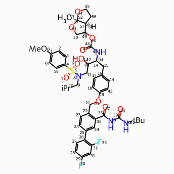 COc1ccc(S(=O)(=O)N(CC(C)C)C[C@@H](O)[C@H](Cc2ccc(OCc3ccc(-c4ccc(F)cc4F)cc3C(=O)NC(=O)NC(C)(C)C)cc2)NC(=O)O[C@H]2CO[C@@]3(C)OCC[C@@H]23)cc1